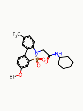 CCOc1ccc2c(c1)S(=O)(=O)N(CC(=O)NC1CCCCC1)c1ccc(C(F)(F)F)cc1-2